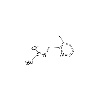 Cc1cccnc1/C=N/[S+]([O-])C(C)(C)C